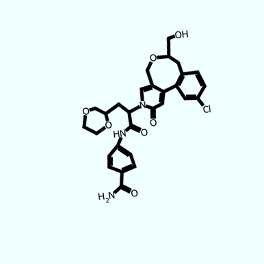 NC(=O)c1ccc(NC(=O)C(CC2COCCO2)n2cc3c(cc2=O)-c2cc(Cl)ccc2CC(CO)OC3)cc1